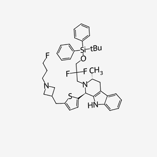 C[C@@H]1Cc2c([nH]c3ccccc23)[C@@H](c2ccc(CC3CN(CCCF)C3)s2)N1CC(F)(F)CO[Si](c1ccccc1)(c1ccccc1)C(C)(C)C